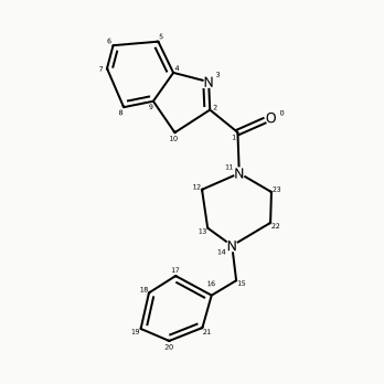 O=C(C1=Nc2ccccc2C1)N1CCN(Cc2ccccc2)CC1